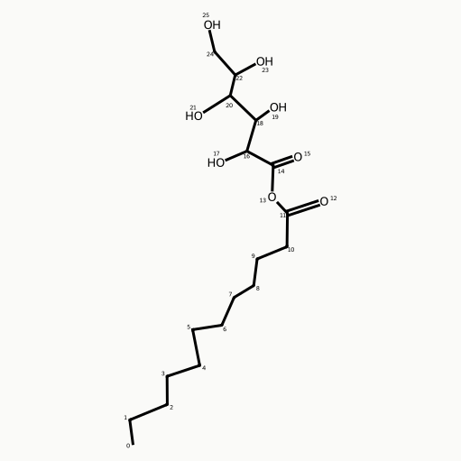 CCCCCCCCCCCC(=O)OC(=O)C(O)C(O)C(O)C(O)CO